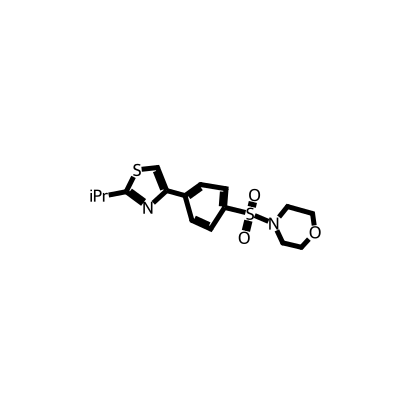 CC(C)c1nc(-c2ccc(S(=O)(=O)N3CCOCC3)cc2)cs1